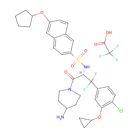 NC1CCN(C(=O)[C@H](NS(=O)(=O)c2ccc3cc(OC4CCCC4)ccc3c2)C(F)(F)c2ccc(Cl)c(OC3CC3)c2)CC1.O=C(O)C(F)(F)F